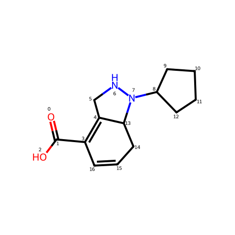 O=C(O)C1=C2CNN(C3CCCC3)C2CC=C1